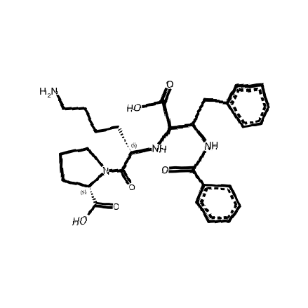 NCCCC[C@H](NC(C(=O)O)C(Cc1ccccc1)NC(=O)c1ccccc1)C(=O)N1CCC[C@H]1C(=O)O